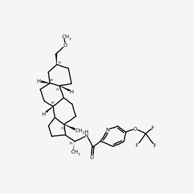 COC[C@H]1CC[C@@H]2C3CC[C@@]4(C)C(CCC4[C@@H](C)NC(=O)c4ccc(OC(F)(F)F)cn4)[C@@H]3CC[C@@H]2C1